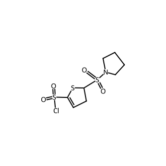 O=S(=O)(Cl)C1=CCC(S(=O)(=O)N2CCCC2)S1